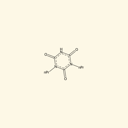 CCCn1c(=O)[nH]c(=O)n(CCC)c1=O